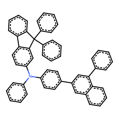 c1ccc(-c2cc(-c3ccc(N(c4ccccc4)c4ccc5c(c4)C(c4ccccc4)(c4ccccc4)c4ccccc4-5)cc3)cc3ccccc23)cc1